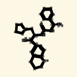 C[C@H](NC(=O)N[C@H](CN1CCCC1)[C@H](O)c1ccc2c(c1)CCCO2)c1ccccc1